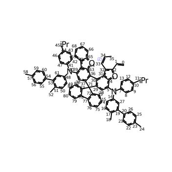 C=Cc1oc2c(N(c3ccc(C(C)C)cc3)c3ccc(C)c(-c4ccc(C)cc4)c3)cc3c(c2c1/C=C\C)-c1c(cc(N(c2ccc(C(C)C)cc2)c2ccc(C)c(-c4ccc(C)cc4)c2)c2c1oc1ccccc12)C31c2ccccc2-c2ccccc21